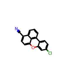 N#Cc1ccc2c3c(cccc13)-c1ccc(Cl)cc1O2